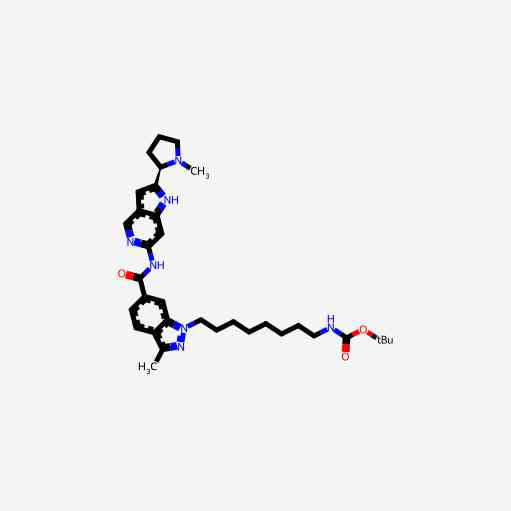 Cc1nn(CCCCCCCCNC(=O)OC(C)(C)C)c2cc(C(=O)Nc3cc4[nH]c([C@H]5CCCN5C)cc4cn3)ccc12